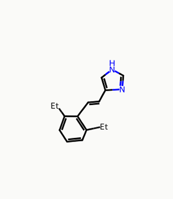 CCc1cccc(CC)c1C=Cc1c[nH]cn1